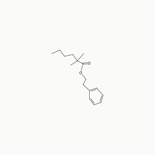 CCCCC(C)(C)C(=O)OCCc1ccccc1